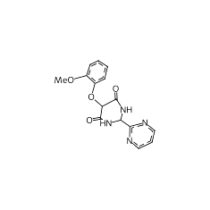 COc1ccccc1OC1C(=O)NC(c2ncccn2)NC1=O